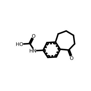 O=C(O)Nc1ccc2c(c1)CCCCC2=O